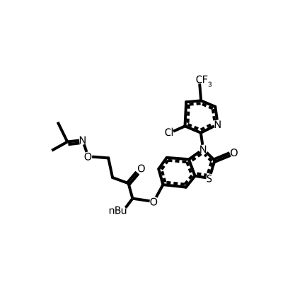 CCCCC(Oc1ccc2c(c1)sc(=O)n2-c1ncc(C(F)(F)F)cc1Cl)C(=O)CCON=C(C)C